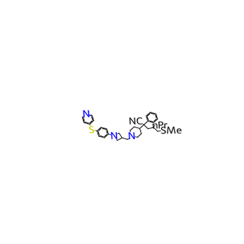 CCCC(CSC)CC(C#N)(c1ccccc1)C1CCN(CC2CN(c3ccc(Sc4ccncc4)cc3)C2)CC1